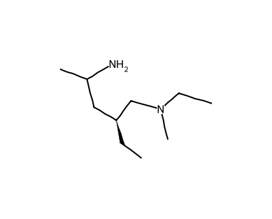 CC[C@@H](CC(C)N)CN(C)CC